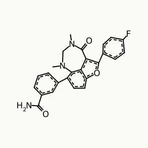 CN1CN(C)c2c(-c3cccc(C(N)=O)c3)ccc3oc(-c4ccc(F)cc4)c(c23)C1=O